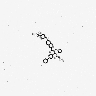 COC(=O)CC(c1ccc(-c2ccccc2)cc1)N(CC1CCCC1)C(=O)c1cc2ccc(Oc3ccc(C(C)(C)C)cc3)cc2cn1